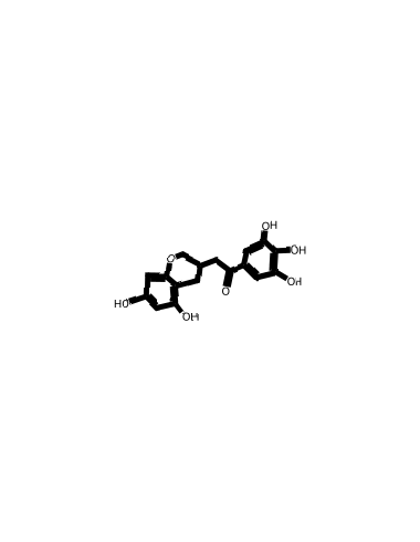 O=C(CC1COc2cc(O)cc(O)c2C1)c1cc(O)c(O)c(O)c1